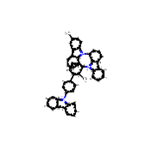 N#Cc1ccc2c(c1)c1ccccc1n2-c1cccc2c3ccccc3n(-c3cccc(-c4ccc(-n5c6ccccc6c6ccccc65)cc4)c3C#N)c12